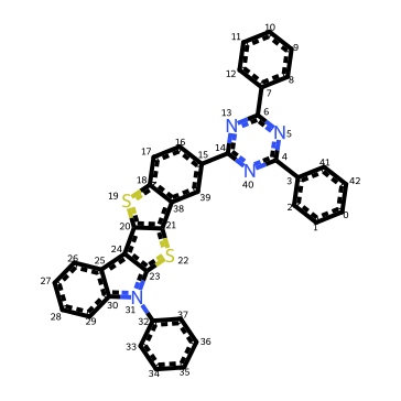 c1ccc(-c2nc(-c3ccccc3)nc(-c3ccc4sc5c(sc6c5c5ccccc5n6-c5ccccc5)c4c3)n2)cc1